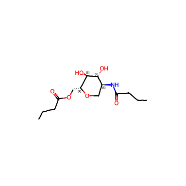 CCCC(=O)N[C@H]1CO[C@H](COC(=O)CCC)[C@@H](O)[C@@H]1O